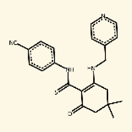 CC1(C)CC(=O)C(C(=S)Nc2ccc(C#N)cc2)=C(NCc2ccncc2)C1